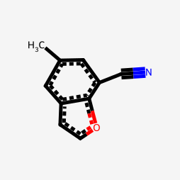 Cc1cc(C#N)c2occc2c1